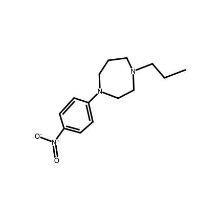 CCCN1CCCN(c2ccc([N+](=O)[O-])cc2)CC1